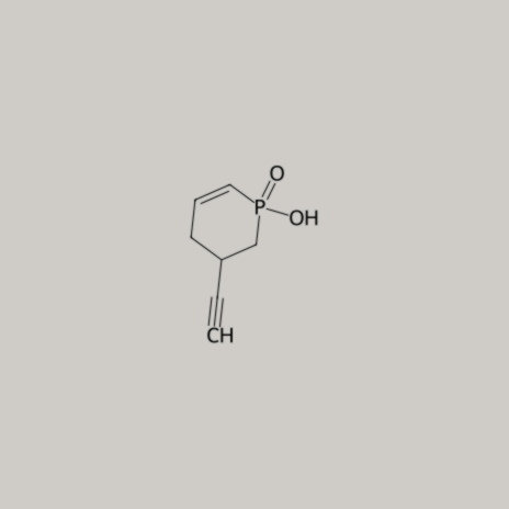 C#CC1CC=CP(=O)(O)C1